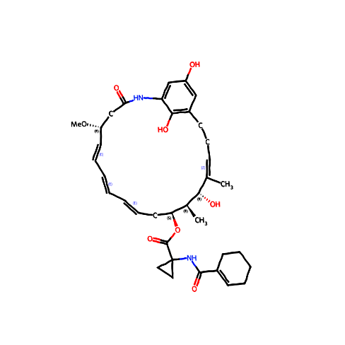 CO[C@H]1/C=C/C=C/C=C/C[C@H](OC(=O)C2(NC(=O)C3=CCCCC3)CC2)[C@H](C)[C@@H](O)/C(C)=C\CCc2cc(O)cc(c2O)NC(=O)C1